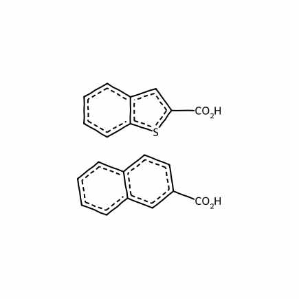 O=C(O)c1cc2ccccc2s1.O=C(O)c1ccc2ccccc2c1